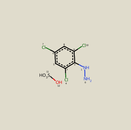 NNc1c(Cl)cc(Cl)cc1Cl.O=S(=O)(O)O